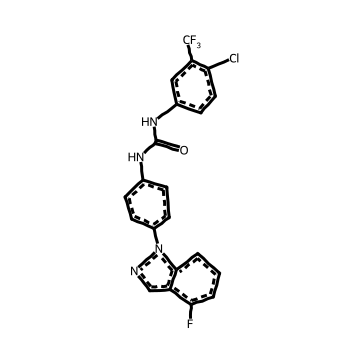 O=C(Nc1ccc(-n2ncc3c(F)cccc32)cc1)Nc1ccc(Cl)c(C(F)(F)F)c1